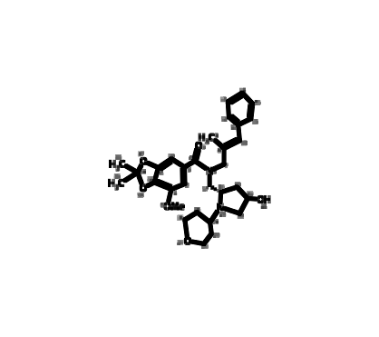 COc1cc(C(=O)N(C/C(C)=C/c2ccccc2)C[C@@H]2CC(O)CN2C2CCOCC2)cc2c1OC(C)(C)O2